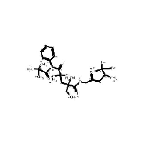 CCC(C)(CC(C)(C)C(=O)N(C(=O)C(C)(C)C)c1ccccc1)C(=O)OCC(=O)CC(C)C(F)(F)F